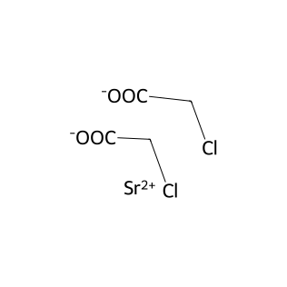 O=C([O-])CCl.O=C([O-])CCl.[Sr+2]